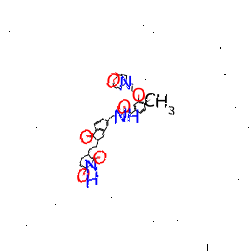 Cc1ccc(CC(=O)NCc2ccc3c(c2)CC(CCC2CCC(=O)NC2=O)C3=O)cc1OCCN1CCOCC1